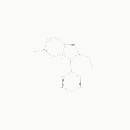 NCc1[nH]c2ccc(Cl)cc2c1-c1ccccc1F